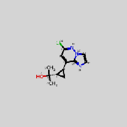 CC(C)(O)[C@H]1C[C@@H]1c1cc(Cl)nn2ccnc12